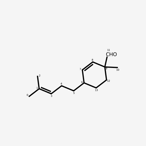 CC(C)=CCCC1C=CC(C)(C=O)CC1